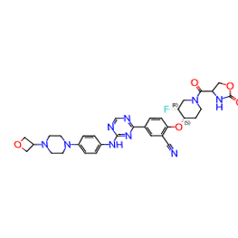 N#Cc1cc(-c2ncnc(Nc3ccc(N4CCN(C5COC5)CC4)cc3)n2)ccc1O[C@H]1CCN(C(=O)C2COC(=O)N2)C[C@H]1F